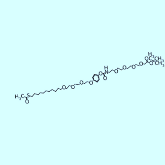 CC(=O)SCCCCCCCCCCCOCCOCCOCCOc1ccc(OC(=O)NCCOCCOCCOCCOCC(=O)OC(C)(C)C)cc1